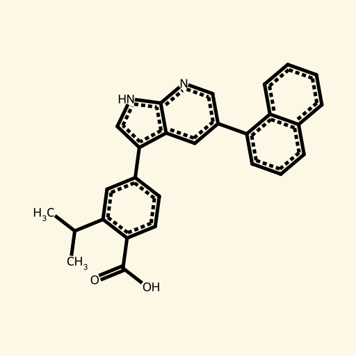 CC(C)c1cc(-c2c[nH]c3ncc(-c4cccc5ccccc45)cc23)ccc1C(=O)O